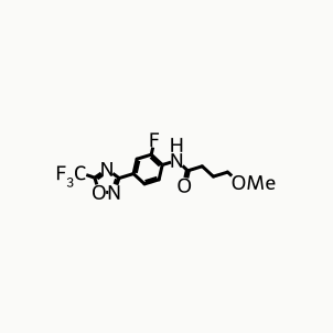 COCCCC(=O)Nc1ccc(-c2noc(C(F)(F)F)n2)cc1F